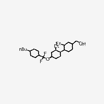 CCCCC1CCC(C(F)(F)OC2CCC(C3CCC(CO)CC3CC)C(CC)C2)CC1